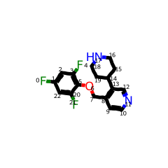 Fc1cc(F)c(OCc2ccncc2C2CCNCC2)c(F)c1